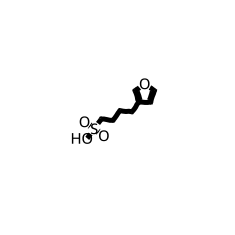 O=S(=O)(O)CCCCc1ccoc1